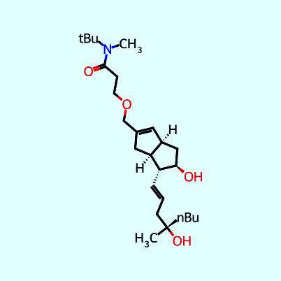 CCCC[C@](C)(O)C/C=C/[C@@H]1[C@H]2CC(COCCC(=O)N(C)C(C)(C)C)=C[C@H]2C[C@H]1O